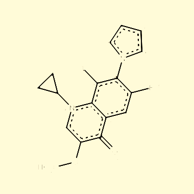 O=C(O)Oc1cn(C2CC2)c2c(Cl)c(-n3cccc3)c(F)cc2c1=O